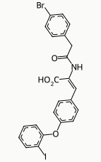 O=C(Cc1ccc(Br)cc1)N/C(=C/c1ccc(Oc2ccccc2I)cc1)C(=O)O